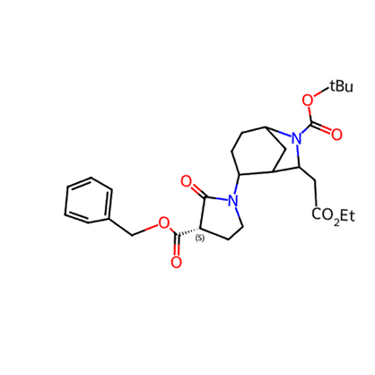 CCOC(=O)CC1C2CC(CCC2N2CC[C@H](C(=O)OCc3ccccc3)C2=O)N1C(=O)OC(C)(C)C